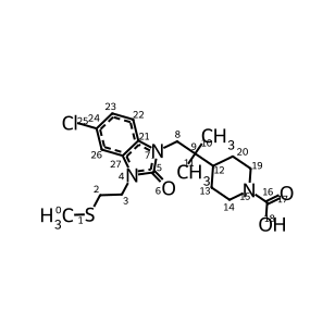 CSCCn1c(=O)n(CC(C)(C)C2CCN(C(=O)O)CC2)c2ccc(Cl)cc21